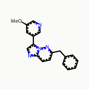 COc1cncc(-c2cnc3ccc(Cc4ccccc4)nn23)c1